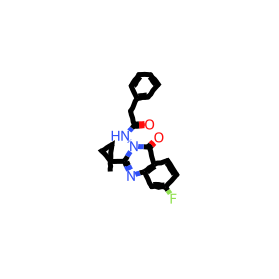 CC1(c2nc3cc(F)ccc3c(=O)n2NC(=O)Cc2ccccc2)CC1